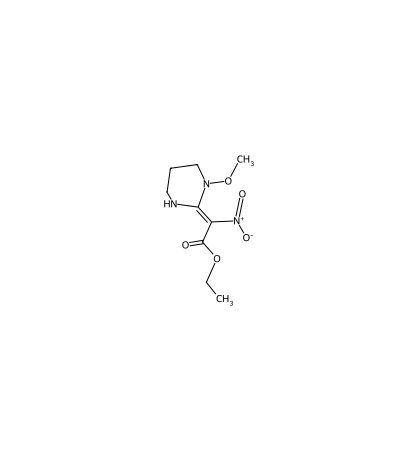 CCOC(=O)C(=C1NCCCN1OC)[N+](=O)[O-]